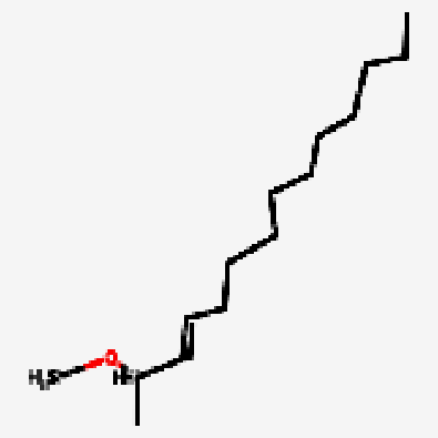 CCCCCCCCCCC=C[SiH](C)O[SiH3]